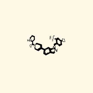 O=C(C1CCCCN1)N1CC=C(c2ccc3cnn(Cc4ccc(Cl)cc4C(F)(F)F)c3c2)CC1